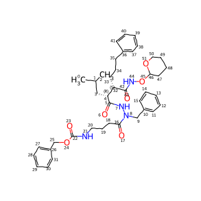 CC(C)C[C@@H](C(=O)NN(Cc1ccccc1)C(=O)CCCNC(=O)OCc1ccccc1)[C@H](CCCc1ccccc1)C(=O)NOC1CCCCO1